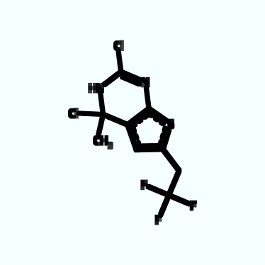 CC1(Cl)NC(Cl)=Nc2sc(CC(F)(F)F)cc21